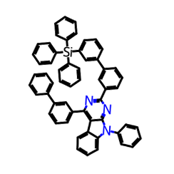 c1ccc(-c2cccc(-c3nc(-c4cccc(-c5cccc([Si](c6ccccc6)(c6ccccc6)c6ccccc6)c5)c4)nc4c3c3ccccc3n4-c3ccccc3)c2)cc1